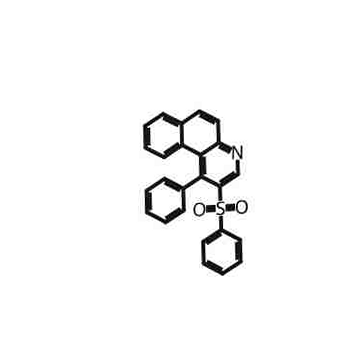 O=S(=O)(c1ccccc1)c1cnc2ccc3ccccc3c2c1-c1ccccc1